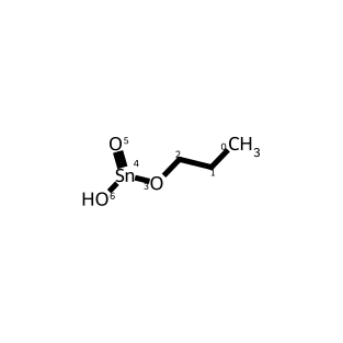 CCC[O][Sn](=[O])[OH]